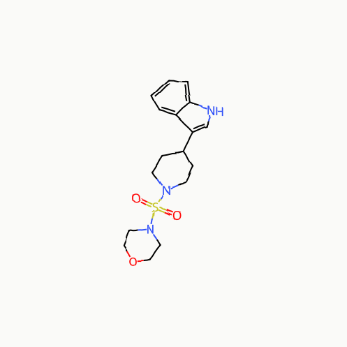 O=S(=O)(N1CCOCC1)N1CCC(c2c[nH]c3ccccc23)CC1